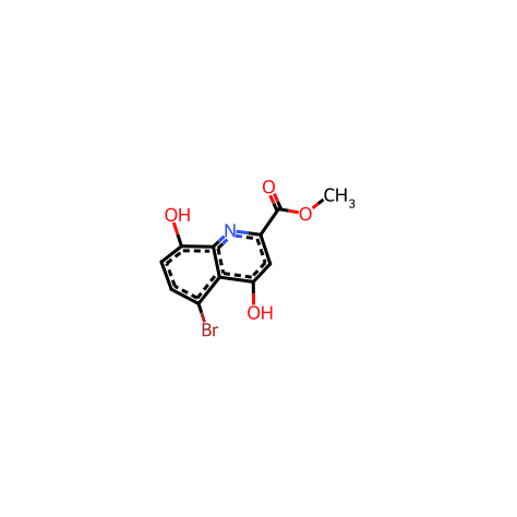 COC(=O)c1cc(O)c2c(Br)ccc(O)c2n1